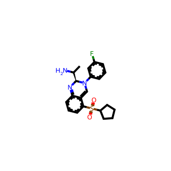 CC(N)[C@@H]1N=c2cccc(S(=O)(=O)C3CCCC3)c2=CN1c1cccc(F)c1